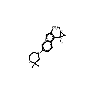 C[C@H]1C[C@@]1(C#N)c1c(C(=O)O)cn2cc([C@@H]3CCOC(C)(C)C3)ccc12